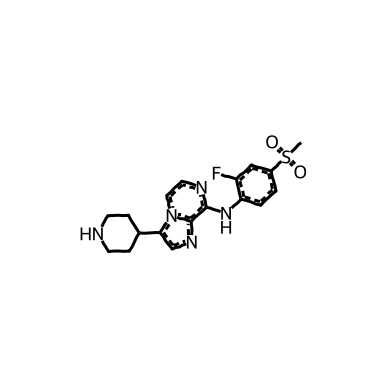 CS(=O)(=O)c1ccc(Nc2nccn3c(C4CCNCC4)cnc23)c(F)c1